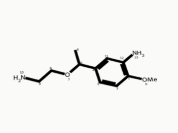 COc1ccc(C(C)OCCN)cc1N